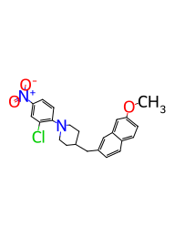 COc1ccc2ccc(CC3CCN(c4ccc([N+](=O)[O-])cc4Cl)CC3)cc2c1